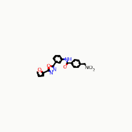 O=C(Nc1cccc(-c2nnc(-c3ccco3)o2)c1)c1ccc(C[N+](=O)[O-])cc1